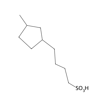 CC1CCC(CCCCS(=O)(=O)O)C1